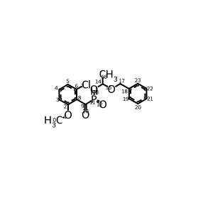 COc1cccc(Cl)c1C(=O)[PH](=O)OC(C)OCc1ccccc1